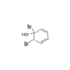 OC1(Br)C=CC=CC1Br